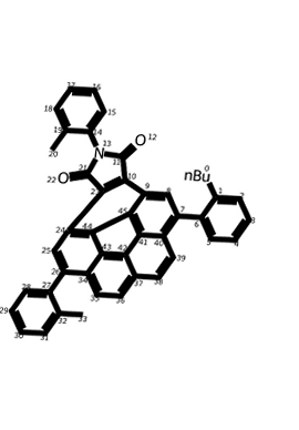 CCCCc1ccccc1-c1cc2c3c(=O)n(-c4ccccc4C)c(=O)c3c3cc(-c4ccccc4C)c4ccc5ccc1c1c5c4c3c21